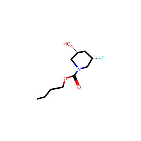 CCCCOC(=O)N1C[C@H](O)C[C@H](F)C1